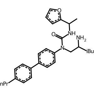 CCCc1ccc(-c2ccc(N(CC(N)C(C)CC)C(=O)NC(C)c3ccco3)cc2)cc1